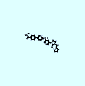 CN(C)C(=O)c1ccc(-c2ccc(Nc3cncc(N4CCN(CC5CCCO5)C4=O)c3)nc2)cc1